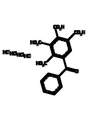 Cl.Cl.Cl.Cl.O=C(O)c1cc(C(=O)c2ccccc2)c(C(=O)O)c(C(=O)O)c1C(=O)O